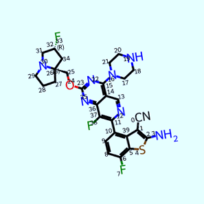 N#Cc1c(N)sc2c(F)ccc(-c3ncc4c(N5CCNCC5)nc(OC[C@@]56CCCN5C[C@H](F)C6)nc4c3F)c12